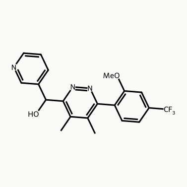 COc1cc(C(F)(F)F)ccc1-c1nnc(C(O)c2cccnc2)c(C)c1C